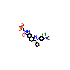 [C-]#[N+]c1ccc(N2N=C3c4ccc(C(=O)NCCS(C)(=O)=O)cc4CC[C@@H]3[C@@H]2C2CCCC2)cc1Cl